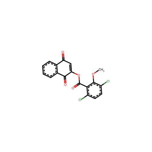 COc1c(Cl)ccc(Cl)c1C(=O)OC1=CC(=O)c2ccccc2C1=O